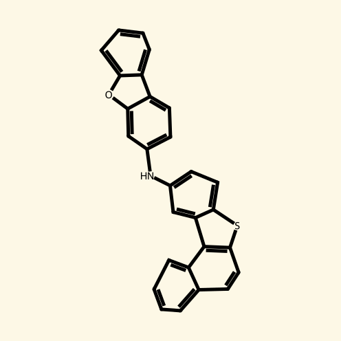 c1ccc2c(c1)ccc1sc3ccc(Nc4ccc5c(c4)oc4ccccc45)cc3c12